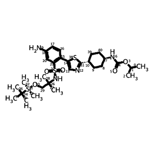 CC(C)OC(=O)N[C@H]1CC[C@H](c2ncc(-c3ccc(N)cc3S(=O)(=O)NC(C)(C)CO[Si](C)(C)C(C)(C)C)s2)CC1